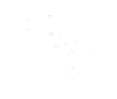 COc1cc(-n2cnc(Nc3nc(N4CCCC4CO)nn4c(CN5CCN(C)CC5)ccc34)c2)cc(OC)c1OC